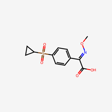 CO/N=C(/C(=O)O)c1ccc(S(=O)(=O)C2CC2)cc1